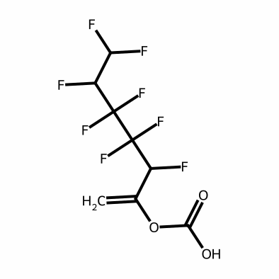 C=C(OC(=O)O)C(F)C(F)(F)C(F)(F)C(F)C(F)F